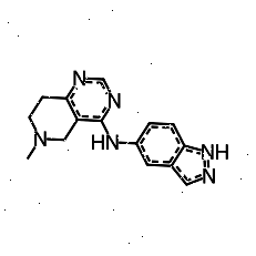 CN1CCc2ncnc(Nc3ccc4[nH]ncc4c3)c2C1